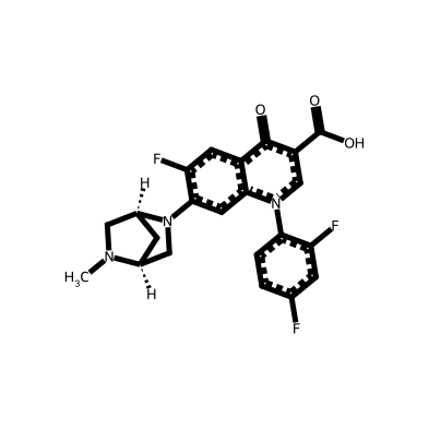 CN1C[C@@H]2C[C@H]1CN2c1cc2c(cc1F)c(=O)c(C(=O)O)cn2-c1ccc(F)cc1F